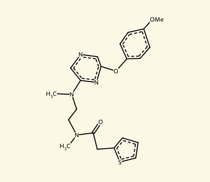 COc1ccc(Oc2cncc(N(C)CCN(C)C(=O)Cc3cccs3)n2)cc1